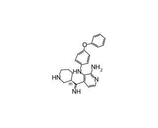 N=C(c1ccnc(N)c1Nc1ccc(Oc2ccccc2)cc1)[C@@H]1CCCNC1